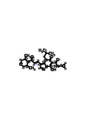 CC(C)Cn1c(=O)c(C(=O)NC2CC2)c(O)n2ncc(/C=C/C(=O)N3C(C)COCC3C)c12